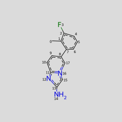 Cc1c(F)cccc1-c1ccc2nc(N)cn2c1